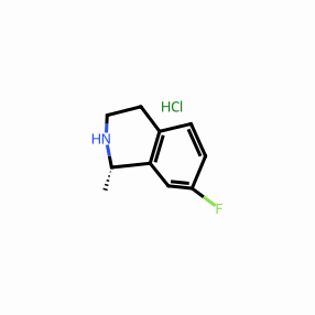 C[C@@H]1NCCc2ccc(F)cc21.Cl